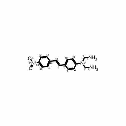 NCN(CN)c1ccc(C=Cc2ccc([N+](=O)[O-])cc2)cc1